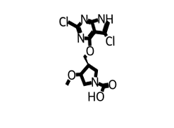 COC1CN(C(=O)O)C[C@@H]1COc1nc(Cl)nc2[nH]cc(Cl)c12